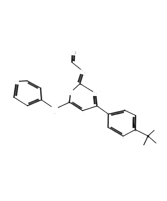 N=C/N=c1/nc(-c2ccc(C(F)(F)F)cc2)cc(Oc2ccncc2)[nH]1